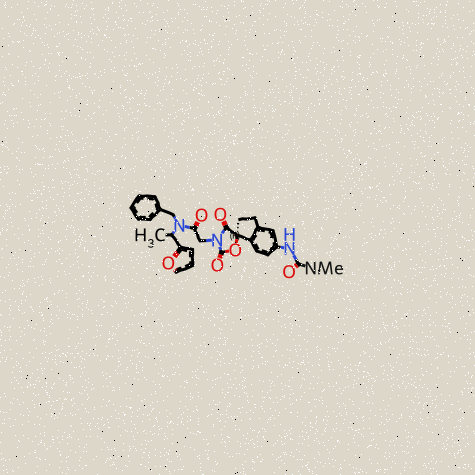 CNC(=O)Nc1ccc2c(c1)CC[C@@]21OC(=O)N(CC(=O)N(Cc2ccccc2)C(C)c2ccco2)C1=O